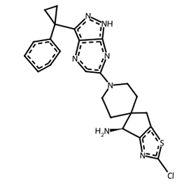 N[C@@H]1c2nc(Cl)sc2CC12CCN(c1cnc3c(C4(c5ccccc5)CC4)n[nH]c3n1)CC2